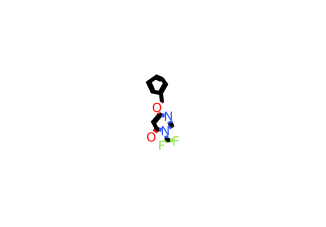 O=c1cc(OCc2ccccc2)ncn1C(F)F